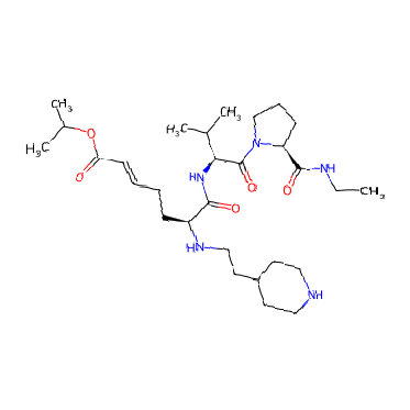 CCNC(=O)[C@@H]1CCCN1C(=O)[C@@H](NC(=O)[C@H](CC/C=C/C(=O)OC(C)C)NCCC1CCNCC1)C(C)C